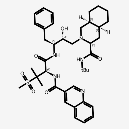 CC(C)(C)NC(=O)[C@@H]1C[C@@H]2CCCC[C@@H]2CN1C[C@@H](O)[C@H](Cc1ccccc1)NC(=O)[C@@H](NC(=O)c1cnc2ccccc2c1)C(C)(C)S(C)(=O)=O